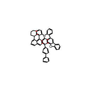 c1ccc(-c2ccc(-c3ccc(N(c4ccccc4-c4ccc5oc6ccccc6c5c4)c4ccccc4-c4cccc5cccc(C6CCCCC6)c45)cc3)cc2)cc1